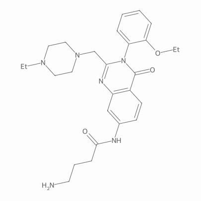 CCOc1ccccc1-n1c(CN2CCN(CC)CC2)nc2cc(NC(=O)CCCN)ccc2c1=O